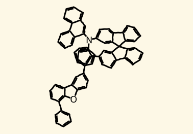 c1ccc(-c2ccc3c(c2)C2(c4ccccc4-3)c3ccccc3-c3ccc(N(c4ccc(-c5ccc6oc7c(-c8ccccc8)cccc7c6c5)cc4)c4cc5ccccc5c5ccccc45)cc32)cc1